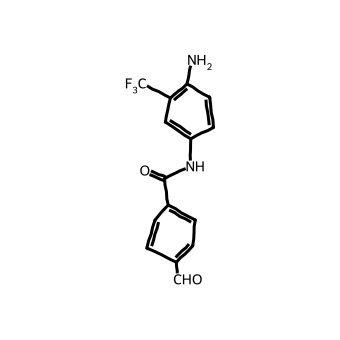 Nc1ccc(NC(=O)c2ccc(C=O)cc2)cc1C(F)(F)F